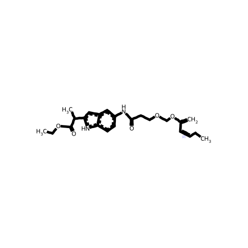 C=C(/C=C\CC)OCOCCC(=O)Nc1ccc2[nH]c(C(C)C(=O)OCC)cc2c1